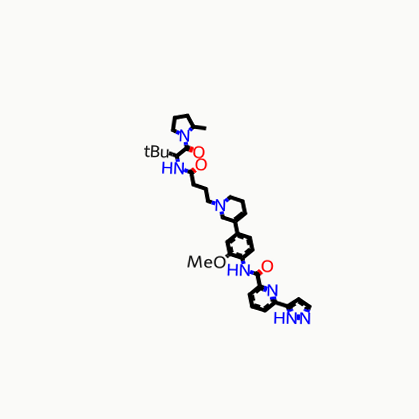 COc1cc(C2=CCCN(CCCC(=O)NC(C(=O)N3CCCC3C)C(C)(C)C)C2)ccc1NC(=O)c1cccc(-c2ccn[nH]2)n1